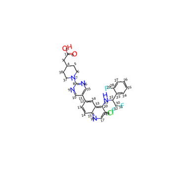 O=C(O)CC1CCN(c2ncc(-c3ccc4ncc(Cl)c(NC(c5ccccc5F)C(F)F)c4c3)cn2)CC1